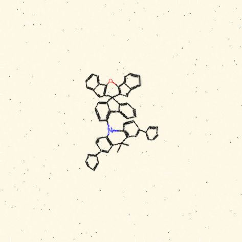 CC1(C)c2cc(-c3ccccc3)ccc2N(c2cccc3c2-c2ccccc2C32c3ccc4ccccc4c3Oc3c2ccc2ccccc32)c2ccc(-c3ccccc3)cc21